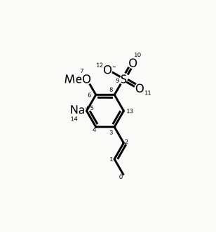 CC=Cc1ccc(OC)c(S(=O)(=O)[O-])c1.[Na+]